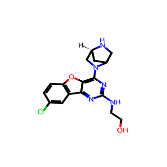 OCCNc1nc(N2C[C@@H]3CC2CN3)c2oc3ccc(Cl)cc3c2n1